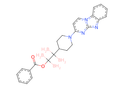 BC(B)(OC(=O)c1ccccc1)C(B)(B)C1CCN(c2ccn3c(n2)nc2ccccc23)CC1